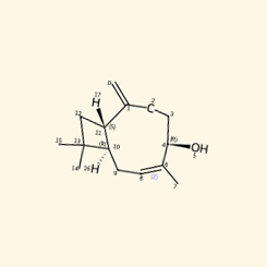 C=C1CC[C@@H](O)/C(C)=C\C[C@@H]2[C@@H]1CC2(C)C